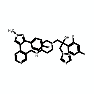 Cn1cc(-c2ccncc2CNC2CCN(CC(O)(Cn3cncn3)c3ccc(F)cc3F)CC2)c(-c2ccc(F)cc2)n1